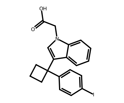 O=C(O)Cn1cc(C2(c3ccc(I)cc3)CCC2)c2ccccc21